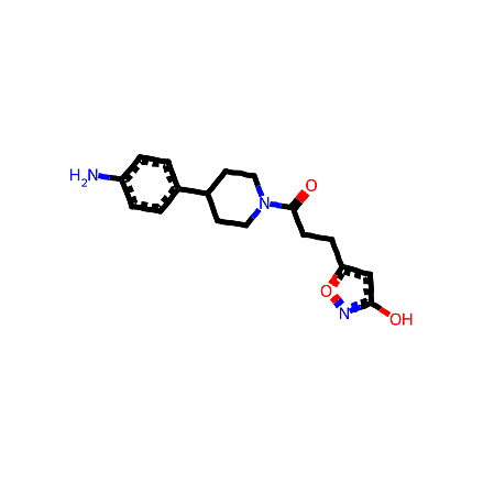 Nc1ccc(C2CCN(C(=O)CCc3cc(O)no3)CC2)cc1